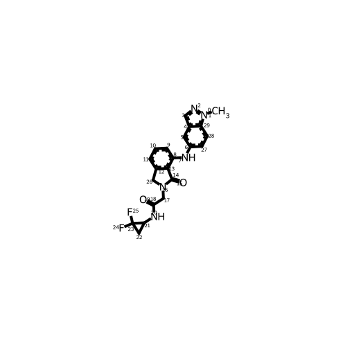 Cn1ncc2cc(Nc3cccc4c3C(=O)N(CC(=O)NC3CC3(F)F)C4)ccc21